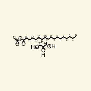 CCCCCCCCCCCCCCCCCC(=O)OC(C)=O.OCC(O)CO